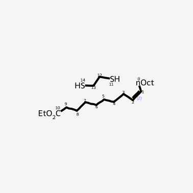 CCCCCCCC/C=C\CCCCCCCC(=O)OCC.SCCS